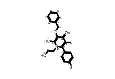 Cc1c(-c2ccc(F)cc2)n(CCO)c(O)c(OCc2ccccc2)c1=O